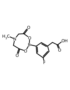 CN1CC(=O)OB(c2cc(F)cc(CC(=O)O)c2)OC(=O)C1